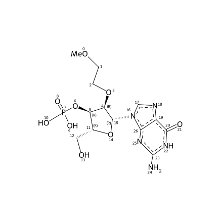 COCCO[C@@H]1[C@H](OP(=O)(O)O)[C@@H](CO)O[C@H]1n1cnc2c(=O)[nH]c(N)nc21